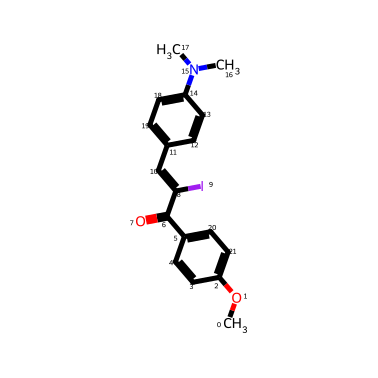 COc1ccc(C(=O)C(I)=Cc2ccc(N(C)C)cc2)cc1